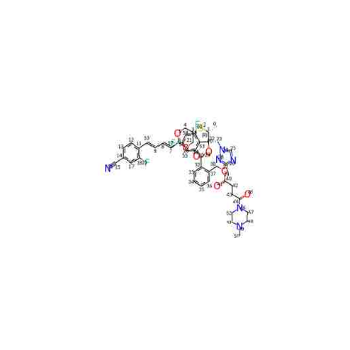 C[C@@H](S[C@H]1CO[C@H](C=CC=Cc2ccc(C#N)cc2F)OC1)[C@@](Cn1cncn1)(OC(=O)c1ccccc1COC(=O)CCC(=O)N1CCN(C)CC1)c1ccc(F)cc1F